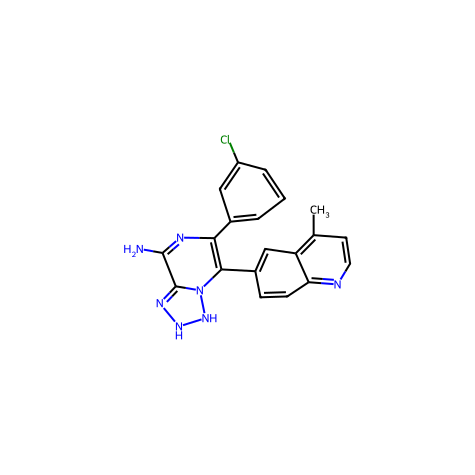 Cc1ccnc2ccc(C3=C(c4cccc(Cl)c4)N=C(N)C4=NNNN43)cc12